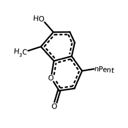 CCCCCc1cc(=O)oc2c(C)c(O)ccc12